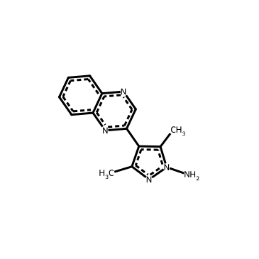 Cc1nn(N)c(C)c1-c1cnc2ccccc2n1